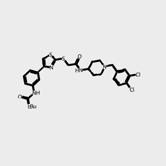 CC(C)(C)C(=O)Nc1cccc(-c2csc(SCC(=O)NC3CCN(Cc4ccc(Cl)c(Cl)c4)CC3)n2)c1